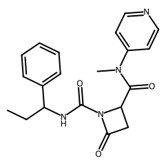 CCC(NC(=O)N1C(=O)CC1C(=O)N(C)c1ccncc1)c1ccccc1